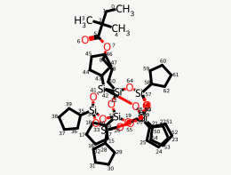 CCC(C)(C)C(=O)OCCC[Si]12O[Si]3(C4CCCC4)O[Si]4(C5CCCC5)O[Si]5(C6CCCC6)O[Si](C6CCCC6)(O3)O[Si]1(C1CCCC1)O[Si](C1CCCC1)(O5)O[Si](C1CCCC1)(O4)O2